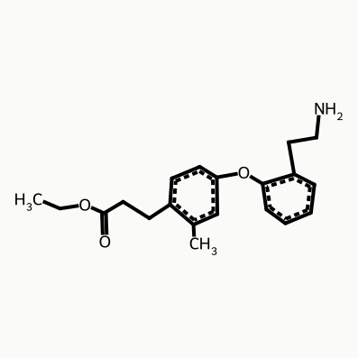 CCOC(=O)CCc1ccc(Oc2ccccc2CCN)cc1C